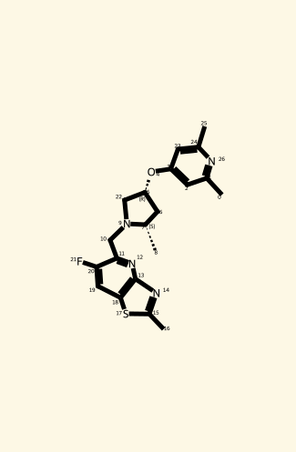 Cc1cc(O[C@@H]2C[C@H](C)N(Cc3nc4nc(C)sc4cc3F)C2)cc(C)n1